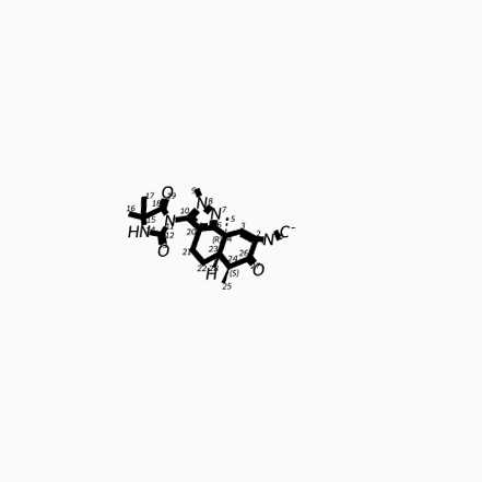 [C-]#[N+]C1=C[C@]2(C)c3nn(C)c(N4C(=O)NC(C)(C)C4=O)c3CC[C@H]2[C@H](C)C1=O